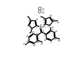 CC1=CC(C)[C]([Zr+2]([C]2=C(C)C=C(C)C2)=[C](c2ccc(C)cc2C)c2ccc(C)cc2C)=C1.[Cl-].[Cl-]